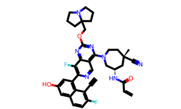 C#Cc1c(F)ccc2cc(O)cc(-c3ncc4c(N5CC[C@](C)(C#N)C[C@H](NC(=O)C=C)C5)nc(OCC56CCCN5CCC6)nc4c3F)c12